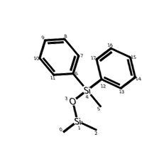 C[Si](C)O[Si](C)(c1ccccc1)c1ccccc1